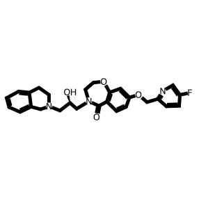 O=C1c2ccc(OCc3ccc(F)cn3)cc2OCCN1C[C@H](O)CN1CCc2ccccc2C1